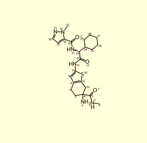 CNC(=O)C1(N)CCc2cc(NC(=O)[C@@H](NC(=O)c3ccnn3C)C3CCCCC3)sc2C1